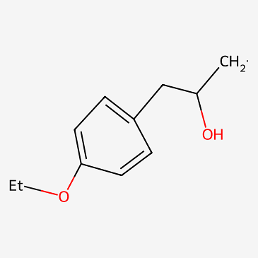 [CH2]C(O)Cc1ccc(OCC)cc1